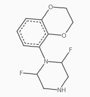 FC1CNCC(F)N1c1cccc2c1OCCO2